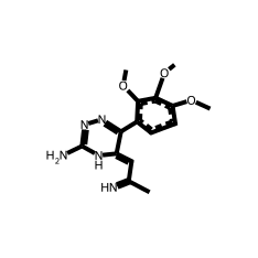 COc1ccc(C2=NN=C(N)N/C2=C\C(C)=N)c(OC)c1OC